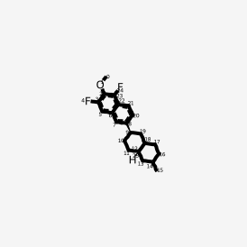 COc1c(F)cc2cc([C@@H]3CC[C@@H]4CC(C)CCC4C3)ccc2c1F